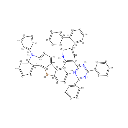 c1ccc(-c2nc(-c3ccccc3)nc(-c3cc(-c4ccccc4-c4ccccc4)cnc3-c3cccc4sc5c(ccc6c5c5ccccc5n6-c5ccccc5)c34)n2)cc1